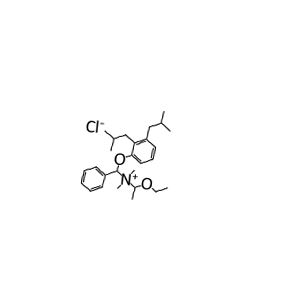 CCOC(C)[N+](C)(C)C(Oc1cccc(CC(C)C)c1CC(C)C)c1ccccc1.[Cl-]